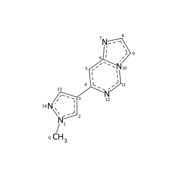 Cn1cc(-c2cc3nccn3cn2)cn1